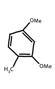 COc1[c]c(OC)c(C)cc1